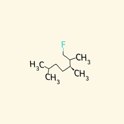 CC(C)CC[C@H](C)C(C)CF